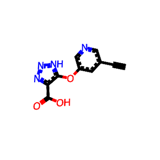 C#Cc1cncc(Oc2[nH]nnc2C(=O)O)c1